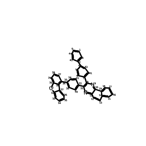 c1ccc(-c2ccc(-c3nc4c(ccc5ccccc54)nc3-c3ccc(-c4cccc5oc6ccccc6c45)cc3)cc2)cc1